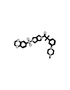 CN1CCN(c2cccc(C(C)(C)C(=O)N3CC4=C(C3)CN(S(=O)(=O)c3ccc5c(c3)OCCO5)C4)c2)CC1